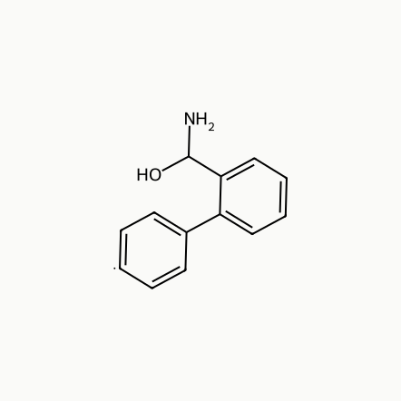 NC(O)c1ccccc1-c1cc[c]cc1